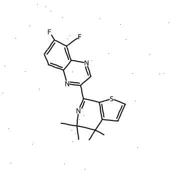 CC1(C)N=C(c2cnc3c(F)c(F)ccc3n2)c2sccc2C1(C)C